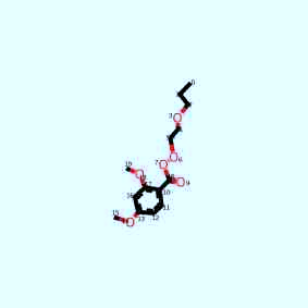 CCCOC[CH]OOC(=O)c1ccc(OC)cc1OC